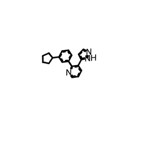 c1cc(-c2ncccc2-c2ccn[nH]2)cc(C2CCCC2)c1